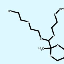 CCCSCCSC(SCCSCCS)C1(C)SCCCS1